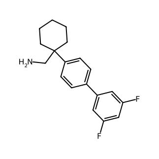 NCC1(c2ccc(-c3cc(F)cc(F)c3)cc2)CCCCC1